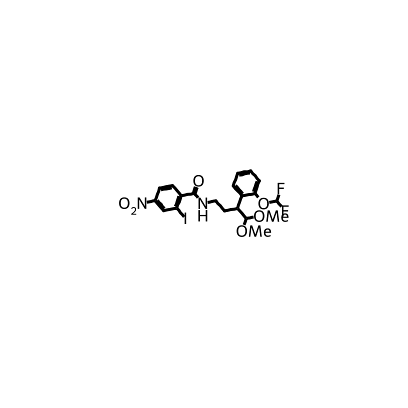 COC(OC)C(CCNC(=O)c1ccc([N+](=O)[O-])cc1I)c1ccccc1OC(F)F